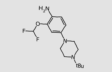 CC(C)(C)N1CCN(c2ccc(N)c(OC(F)F)c2)CC1